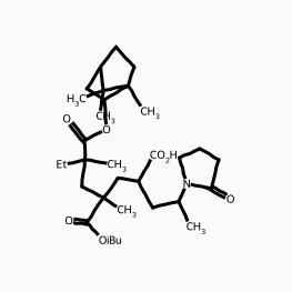 CCC(C)(CC(C)(CC(CC(C)N1CCCC1=O)C(=O)O)C(=O)OCC(C)C)C(=O)OC1CC2CCC1(C)C2(C)C